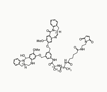 COc1cc2c(cc1OCc1cc(COc3cc4c(cc3OC)C(O)N3c5ccccc5C[C@H]3CN4)cc(NC(=O)[C@H](C)NC(=O)[C@H](C)NC(=O)CCCCC(=O)NCCN3C(=O)C=CC3=O)c1)N=C[C@@H]1Cc3ccccc3N1C2=O